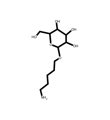 NCCCCCOC1OC(CO)C(O)C(O)C1O